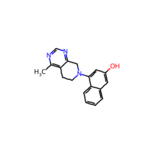 Cc1ncnc2c1CCN(c1cc(O)cc3ccccc13)C2